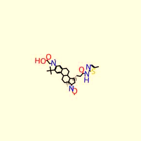 CO/N=C1\C[C@@H](CCC(=O)Nc2ncc(C)s2)C2C3CCc4cc(N(C)CC(=O)O)c(C(C)(C)C)cc4C3CC[C@]12C